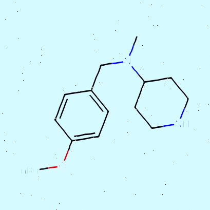 CCCCOc1ccc(CN(C)C2CCNCC2)cc1